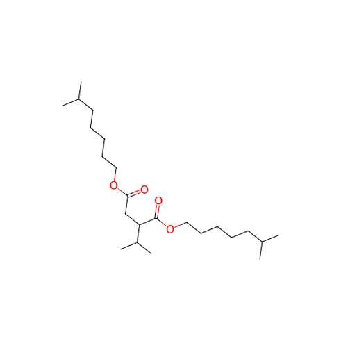 CC(C)CCCCCOC(=O)CC(C(=O)OCCCCCC(C)C)C(C)C